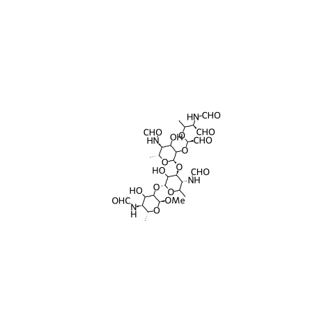 CO[C@H]1O[C@H](C)[C@@H](NC=O)C(O)C1O[C@H]1OC(C)[C@@H](NC=O)[C@H](O[C@H]2O[C@H](C)[C@@H](NC=O)C(O)C2O[C@H](C=O)OC(C)[C@H](C=O)NC=O)C1O